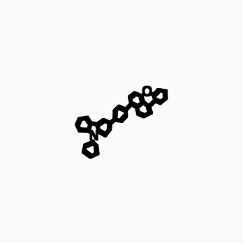 c1ccc(-n2c3ccccc3c3cc(-c4ccc(-c5ccc6c7c(cccc57)-c5ccccc5O6)cc4)ccc32)cc1